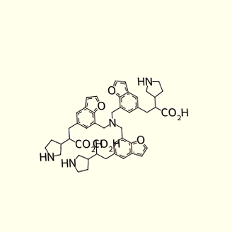 O=C(O)C(Cc1cc(CN(Cc2cc(CC(C(=O)O)C3CCNC3)cc3ccoc23)Cc2cc(CC(C(=O)O)C3CCNC3)cc3ccoc23)c2occc2c1)C1CCNC1